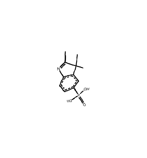 CC1=Nc2ccc(P(=O)(O)O)cc2C1(C)C